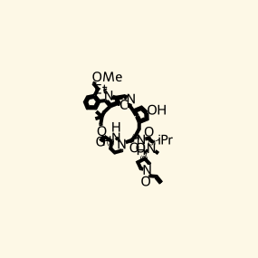 C=CC(=O)N1CC[C@H](C(=O)N(C)[C@H](C(=O)N[C@H]2Cc3cc(O)cc(c3)-c3cc4c(c(-c5ccccc5CCOC)n(CC)c4cn3)CC(C)(C)COC(=O)[C@@H]3CCCN(N3)C2=O)C(C)C)C1